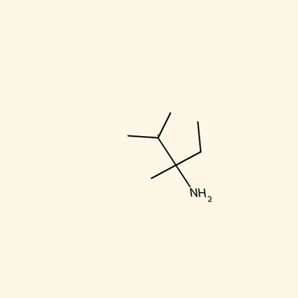 CCC(C)(N)[C](C)C